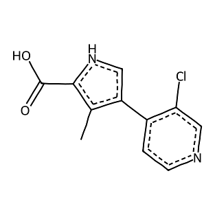 Cc1c(-c2ccncc2Cl)c[nH]c1C(=O)O